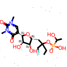 CCC(CF)(C[C@H]1O[C@@H](c2cn(C)c(=O)n(C)c2=O)[C@H](O)[C@@H]1O)OP(=O)(O)C(C)O